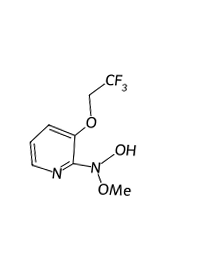 CON(O)c1ncccc1OCC(F)(F)F